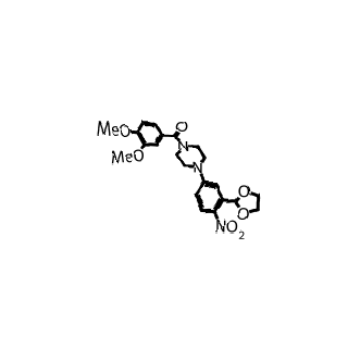 COc1ccc(C(=O)N2CCN(c3ccc([N+](=O)[O-])c(C4OCCO4)c3)CC2)cc1OC